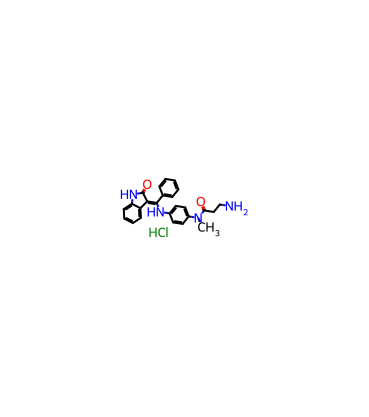 CN(C(=O)CCN)c1ccc(NC(=C2C(=O)Nc3ccccc32)c2ccccc2)cc1.Cl